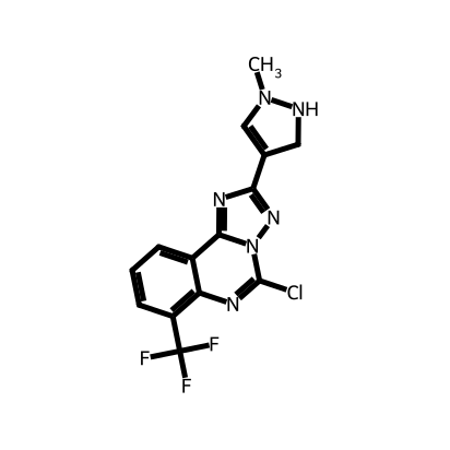 CN1C=C(c2nc3c4cccc(C(F)(F)F)c4nc(Cl)n3n2)CN1